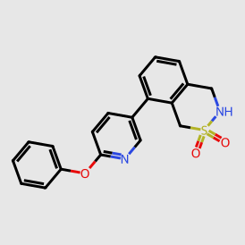 O=S1(=O)Cc2c(cccc2-c2ccc(Oc3ccccc3)nc2)CN1